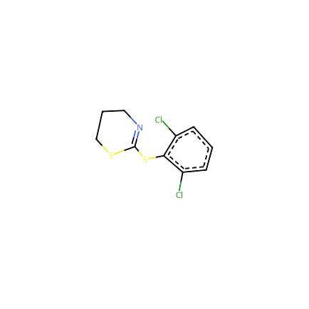 Clc1cccc(Cl)c1SC1=NCCCS1